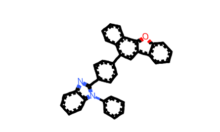 c1ccc(-n2c(-c3ccc(-c4cc5c6ccccc6oc5c5ccccc45)cc3)nc3ccccc32)cc1